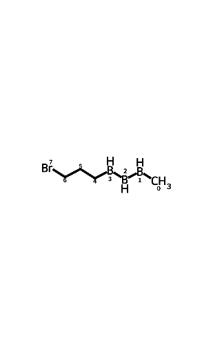 CBBBCCCBr